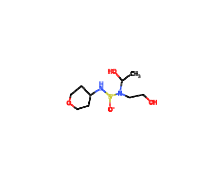 CC(O)N(CCO)[S+]([O-])NC1CCOCC1